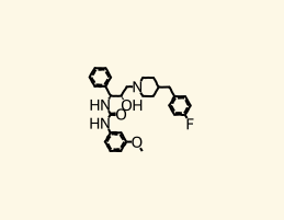 COc1cccc(NC(=O)N[C@@H](c2ccccc2)[C@@H](O)CN2CCC(Cc3ccc(F)cc3)CC2)c1